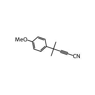 COc1ccc(C(C)(C)C#CC#N)cc1